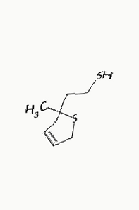 CC1(CCS)C=CCS1